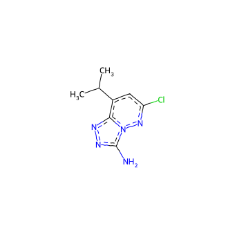 CC(C)c1cc(Cl)nn2c(N)nnc12